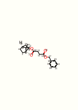 CC1(C)[C@H]2CC[C@]1(C)[C@H](OC(=O)CCC(=O)OCc1ccccc1)C2